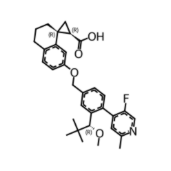 CO[C@@H](c1cc(COc2ccc3c(c2)[C@]2(CCC3)C[C@H]2C(=O)O)ccc1-c1cc(C)ncc1F)C(C)(C)C